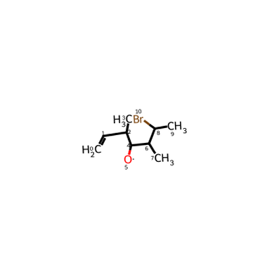 C=CC(C)C([O])C(C)C(C)Br